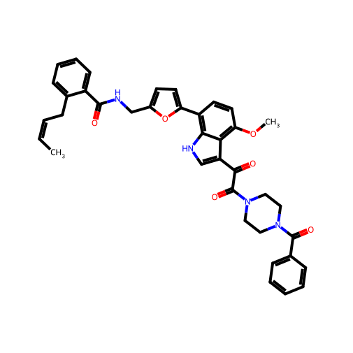 C/C=C\Cc1ccccc1C(=O)NCc1ccc(-c2ccc(OC)c3c(C(=O)C(=O)N4CCN(C(=O)c5ccccc5)CC4)c[nH]c23)o1